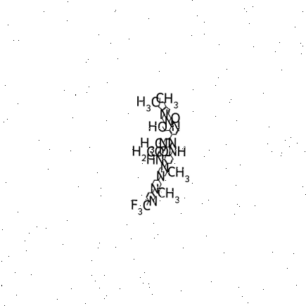 C=CC(=O)Nc1cc(Nc2nc(-c3ccnc(N4CCn5c(cc6c5CC(C)(C)C6)C4=O)c3CO)cn(C)c2=O)ccc1N1CCN(C2CCN(c3ccc(C(F)(F)F)nc3)[C@@H](C)C2)C[C@@H]1C